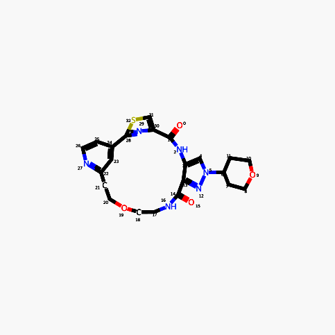 O=C1Nc2cn(C3CCOCC3)nc2C(=O)NCCOCCc2cc(ccn2)-c2nc1cs2